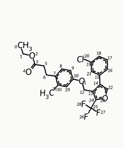 CCOC(=O)CCc1ccc(OCc2c(-c3cccc(Cl)c3)coc2C(F)(F)F)cc1C